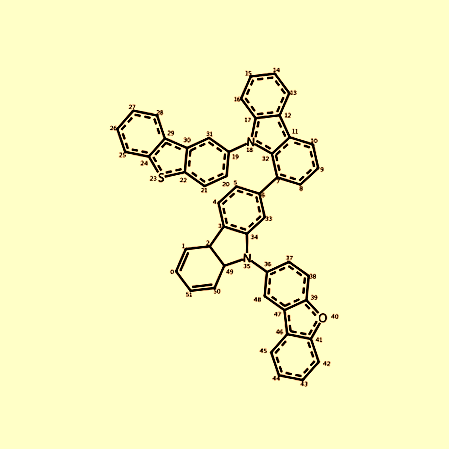 C1=CC2c3ccc(-c4cccc5c6ccccc6n(-c6ccc7sc8ccccc8c7c6)c45)cc3N(c3ccc4oc5ccccc5c4c3)C2C=C1